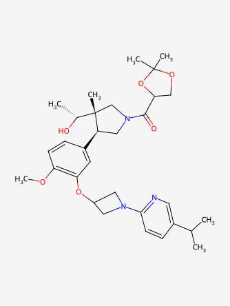 COc1ccc([C@@H]2CN(C(=O)C3COC(C)(C)O3)C[C@@]2(C)[C@@H](C)O)cc1OC1CN(c2ccc(C(C)C)cn2)C1